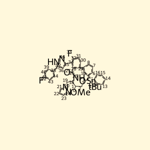 COC(CO[Si](c1ccccc1)(c1ccccc1)C(C)(C)C)C(Cn1cccn1)NC(=O)c1cccc(F)c1-c1cc(-c2ccc(F)cc2)[nH]n1